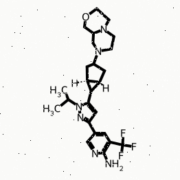 CC(C)n1nc(-c2cnc(N)c(C(F)(F)F)c2)cc1C1[C@H]2CC(N3CCN4CCOCC4C3)C[C@@H]12